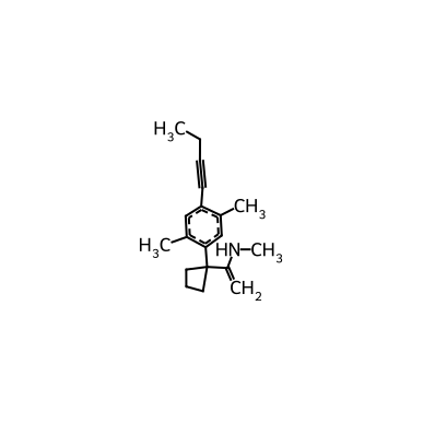 C=C(NC)C1(c2cc(C)c(C#CCC)cc2C)CCC1